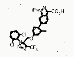 Cc1cc(OCc2c(C(F)(F)F)nnn2-c2c(Cl)cccc2Cl)ccc1-c1ccc2c(C(=O)O)nn(C(C)C)c2c1